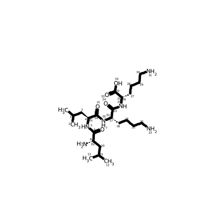 CC(C)C[C@H](NC(=O)[C@@H](N)CC(C)C)C(=O)N[C@@H](CCCCN)C(=O)N[C@@H](CCCCN)C(=O)O